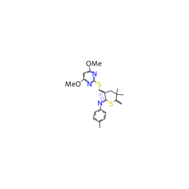 C=C1SC(=N\c2ccc(C)cc2)/C(=C/Sc2nc(OC)cc(OC)n2)CC1(C)C